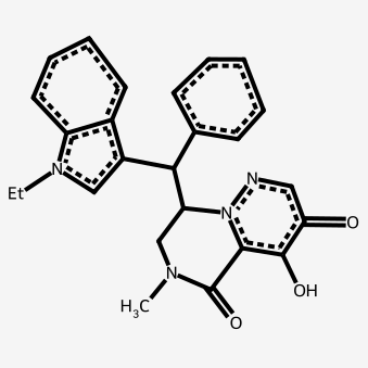 CCn1cc(C(c2ccccc2)C2CN(C)C(=O)c3c(O)c(=O)cnn32)c2ccccc21